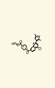 CCCOC(=O)N1CCN(C(=O)c2ccc3c(Cl)cc(-c4cc(C)n(C)c4C)nc3c2)CC1